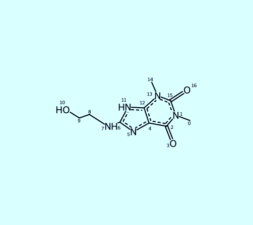 Cn1c(=O)c2nc(NCCO)[nH]c2n(C)c1=O